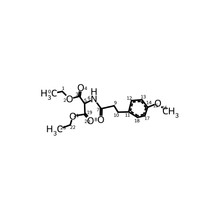 CCOC(=O)C(NC(=O)CCc1ccc(OC)cc1)C(=O)OCC